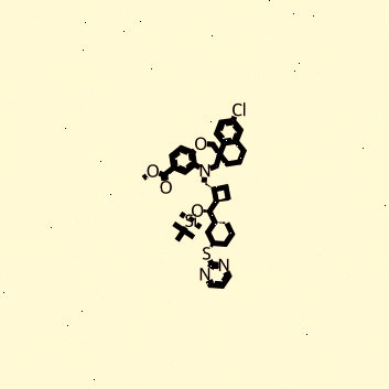 COC(=O)c1ccc2c(c1)N(C[C@@H]1CC[C@H]1[C@H](O[Si](C)(C)C(C)(C)C)[C@@H]1CCC[C@@H](Sc3ncccn3)C1)CC1(CCCc3cc(Cl)ccc31)CO2